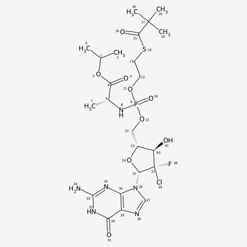 CC(C)OC(=O)[C@@H](C)NP(=O)(OCCSC(=O)C(C)(C)C)OC[C@H]1O[C@@H](n2cnc3c(=O)[nH]c(N)nc32)[C@](F)(Cl)[C@@H]1O